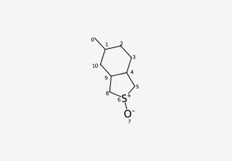 CC1CCC2C[S+]([O-])CC2C1